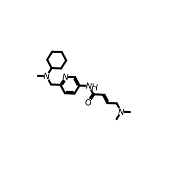 CN(C)C/C=C/C(=O)Nc1ccc(CN(C)C2CCCCC2)nc1